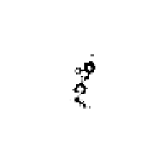 CC(C)(C)OC(=O)N1CCC(OCc2ccc(F)cc2Cl)CC1